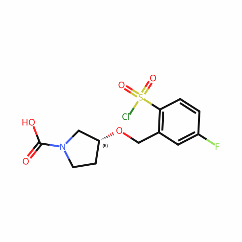 O=C(O)N1CC[C@@H](OCc2cc(F)ccc2S(=O)(=O)Cl)C1